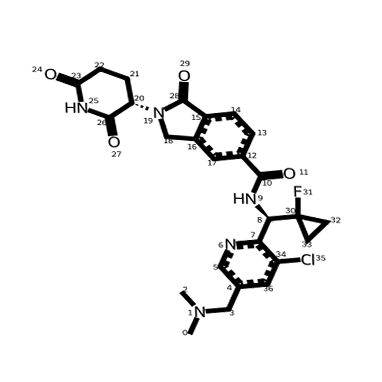 CN(C)Cc1cnc([C@@H](NC(=O)c2ccc3c(c2)CN([C@H]2CCC(=O)NC2=O)C3=O)C2(F)CC2)c(Cl)c1